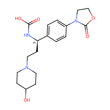 O=C(O)N[C@H](CCN1CCC(O)CC1)c1ccc(N2CCOC2=O)cc1